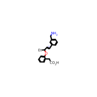 CCC(/C=C/c1cccc(CN)c1)Oc1ccccc1CC(=O)O